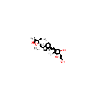 C=C1/C(=C\C=C2/CCC[C@]3(C)[C@@H]([C@H](C)C[C@@H]4OC(=O)C(=C)[C@@H]4CC)CC[C@@H]23)C[C@@H](O)[C@H](CCCO)[C@@H]1O